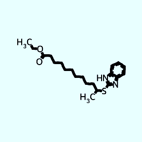 CCOC(=O)CCCCCCCCCC(C)Sc1nc2ccccc2[nH]1